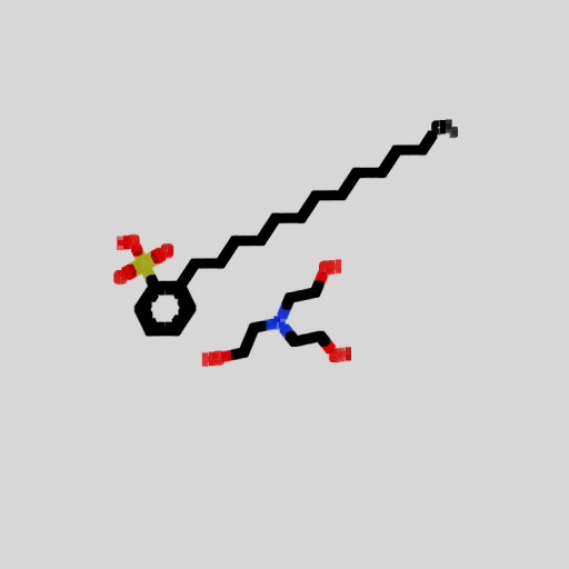 CCCCCCCCCCCCCc1ccccc1S(=O)(=O)O.OCCN(CCO)CCO